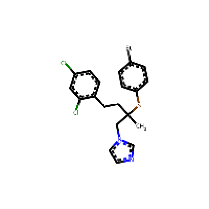 CCc1ccc(SC(C)(CCc2ccc(Cl)cc2Cl)Cn2ccnc2)cc1